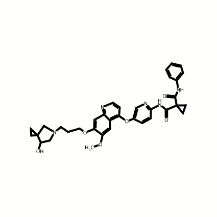 COc1cc2c(Oc3ccc(NC(=O)C4(C(=O)Nc5ccccc5)CC4)nc3)ccnc2cc1OCCCN1CC(O)C2(CC2)C1